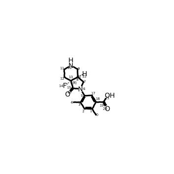 Cc1cc(C)c(N2C[C@@H]3CNCC[C@]3(F)C2=O)cc1C(=O)O